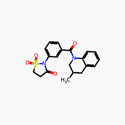 CC1Cc2ccccc2N(C(=O)c2cccc(N3C(=O)CCS3(=O)=O)c2)C1